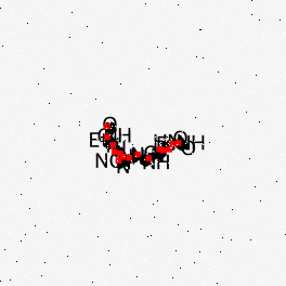 CCC1(C(=O)NC2CCOCC2)CCN(c2ccc(-c3nc(-c4cnn(C5CCNC(C(=O)CN6CCC(c7ccc(NC8CCC(=O)NC8=O)cc7F)CC6)C5)c4)cn4ncc(C#N)c34)cn2)CC1